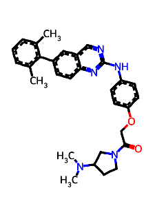 Cc1cccc(C)c1-c1ccc2nc(Nc3ccc(OCC(=O)N4CCC(N(C)C)C4)cc3)ncc2c1